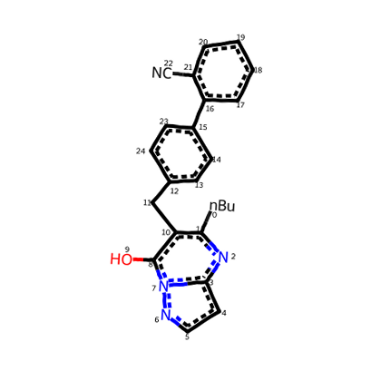 CCCCc1nc2ccnn2c(O)c1Cc1ccc(-c2ccccc2C#N)cc1